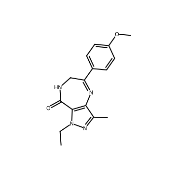 CCn1nc(C)c2c1C(=O)NCC(c1ccc(OC)cc1)=N2